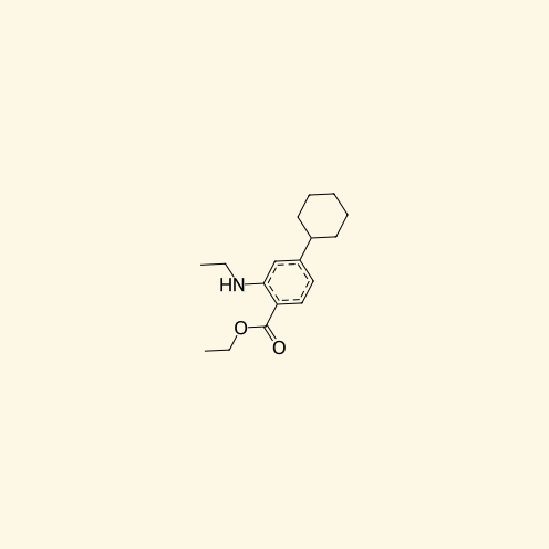 CCNc1cc(C2CCCCC2)ccc1C(=O)OCC